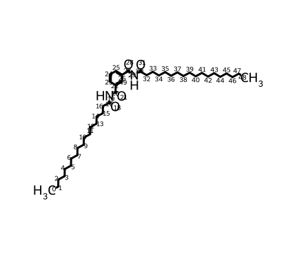 CCCCCCCCCCCCCCCCCC(=O)NC(=O)c1cccc(C(=O)NC(=O)CCCCCCCCCCCCCCCCC)c1